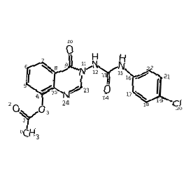 CC(=O)Oc1cccc2c(=O)n(NC(=O)Nc3ccc(Cl)cc3)cnc12